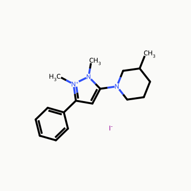 CC1CCCN(c2cc(-c3ccccc3)[n+](C)n2C)C1.[I-]